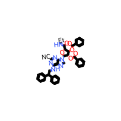 CCNC(=O)C1OC(n2cnc3c(NCC(c4ccccc4)c4ccccc4)nc(C#N)nc32)C(OC(=O)c2ccccc2)C1OC(=O)c1ccccc1